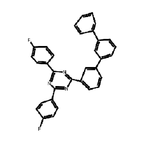 Fc1ccc(-c2nc(-c3ccc(F)cc3)nc(-c3cccc(-c4cccc(-c5ccccc5)c4)c3)n2)cc1